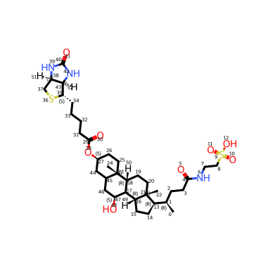 C[C@H](CCC(=O)NCCS(=O)(=O)O)[C@H]1CC[C@@H]2C3[C@@H](CC[C@@]21C)[C@@]1(C)CC[C@H](OC(=O)CCCC[C@@H]2SC[C@H]4NC(=O)N[C@@H]24)CC1C[C@@H]3O